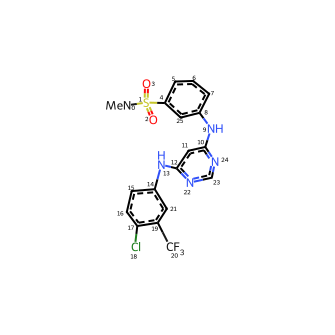 CNS(=O)(=O)c1cccc(Nc2cc(Nc3ccc(Cl)c(C(F)(F)F)c3)ncn2)c1